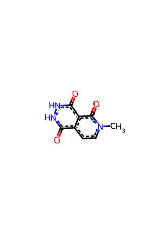 Cn1ccc2c(=O)[nH][nH]c(=O)c2c1=O